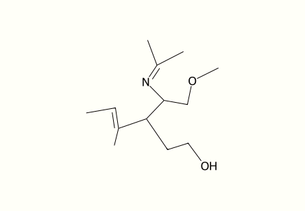 C/C=C(\C)C(CCO)C(COC)N=C(C)C